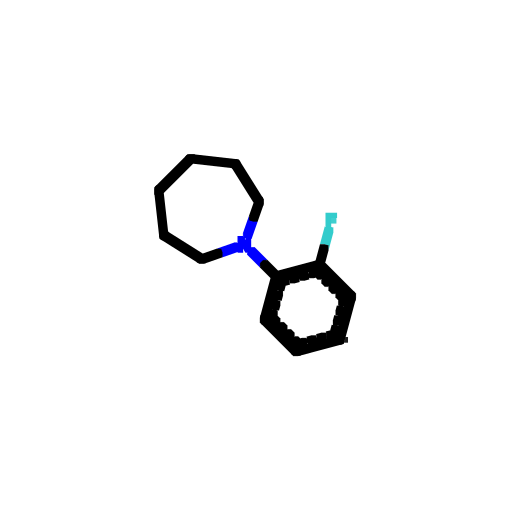 Fc1c[c]ccc1N1CCCCCC1